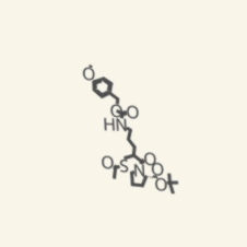 COc1ccc(COC(=O)NCCCC(CSC(C)=O)C(=O)N2CCC[C@H]2C(=O)OC(C)(C)C)cc1